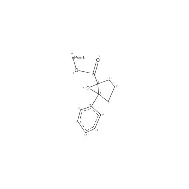 CCCCCOC(=O)C12CCCC1(c1ccccc1)O2